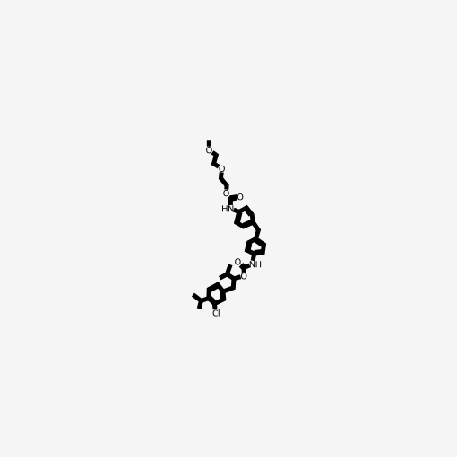 COCCOCCOC(=O)Nc1ccc(Cc2ccc(NC(=O)OC(Cc3ccc(C(C)C)c(Cl)c3)C(C)C)cc2)cc1